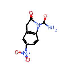 NC(=O)N1C(=O)Cc2cc([N+](=O)[O-])ccc21